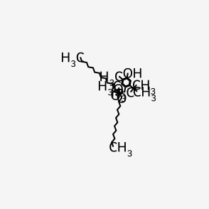 CCCCCCCCCCCCOP(=O)(Cc1c(C(C)(C)C)cc(O)c(C)c1C)OCCCCCCCCCCCC